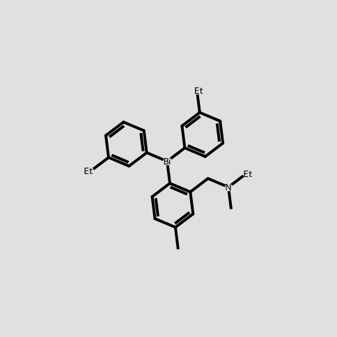 CCc1ccc[c]([Bi]([c]2cccc(CC)c2)[c]2ccc(C)cc2CN(C)CC)c1